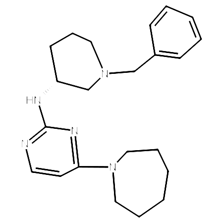 c1ccc(CN2CCC[C@@H](Nc3nccc(N4CCCCCC4)n3)C2)cc1